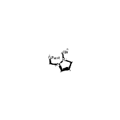 Br.CCCCCCN1C=CCN1C